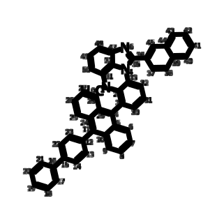 CN1c2c(-c3c4ccccc4c(-c4ccc(-c5ccccc5)cc4)c4ccccc34)cccc2-n2c(-c3ccc4ccccc4c3)nc3cccc1c32